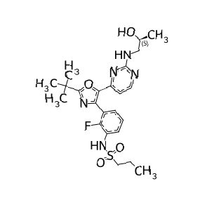 CCCS(=O)(=O)Nc1cccc(-c2nc(C(C)(C)C)oc2-c2ccnc(NC[C@H](C)O)n2)c1F